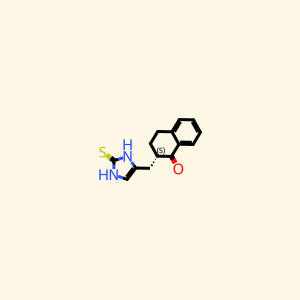 O=C1c2ccccc2CC[C@H]1Cc1c[nH]c(=S)[nH]1